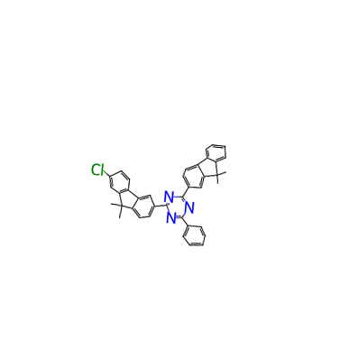 CC1(C)c2ccc(-c3nc(-c4ccccc4)nc(-c4ccc5c(c4)C(C)(C)c4ccccc4-5)n3)cc2-c2ccc(Cl)cc21